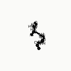 CC(=O)N[C@H](C(=O)N1C[C@H](O)C[C@H]1C(=O)N[C@@H](C)c1ccc(-c2scnc2C)cc1OCCCCCNC(=O)CCC(=O)N(C)S(=O)(=O)c1ccc(Nc2ncc(Cl)c(-c3cccc(-c4ccccc4)c3)n2)cc1)C(C)(C)C